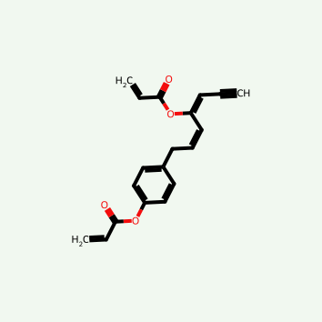 C#C/C=C(\C=C/Cc1ccc(OC(=O)C=C)cc1)OC(=O)C=C